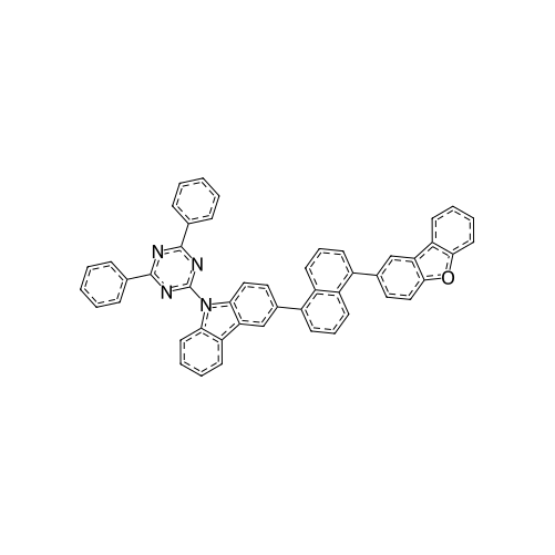 c1ccc(-c2nc(-c3ccccc3)nc(-n3c4ccccc4c4cc(-c5cccc6c(-c7ccc8oc9ccccc9c8c7)cccc56)ccc43)n2)cc1